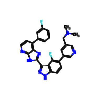 CN(C)Cc1cncc(-c2ccc3[nH]nc(-c4nc5c(-c6cccc(F)c6)ccnc5[nH]4)c3c2F)c1